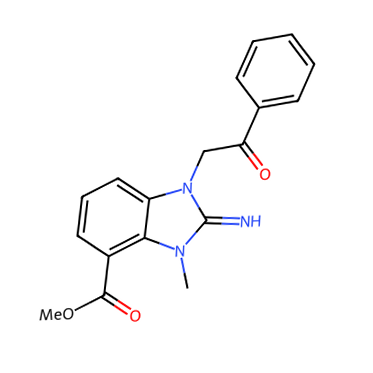 COC(=O)c1cccc2c1n(C)c(=N)n2CC(=O)c1ccccc1